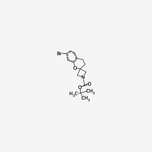 CC(C)(C)OC(=O)N1CC2(CCc3ccc(Br)cc3O2)C1